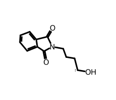 O=C1c2ccccc2C(=O)N1CCC[C]O